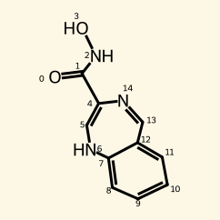 O=C(NO)C1=CNc2ccccc2C=N1